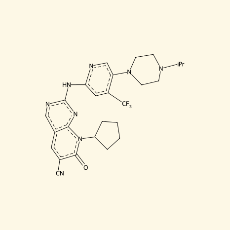 CC(C)N1CCN(c2cnc(Nc3ncc4cc(C#N)c(=O)n(C5CCCC5)c4n3)cc2C(F)(F)F)CC1